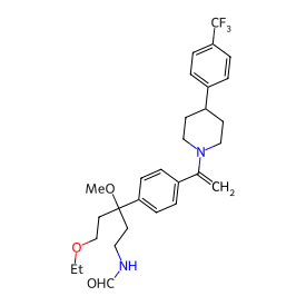 C=C(c1ccc(C(CCNC=O)(CCOCC)OC)cc1)N1CCC(c2ccc(C(F)(F)F)cc2)CC1